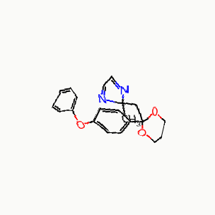 CC1(CC2(c3ccc(Oc4ccccc4)cc3)OCCCO2)N=CC=N1